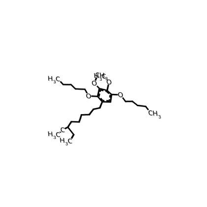 CCCCCOc1cc(CCCCCCC(CC)CC)c(OCCCCC)c(OC)c1OC